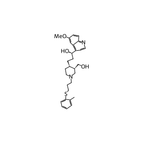 COc1ccc2nccc([C@H](O)CC[C@@H]3CCN(CCCSc4ccccc4C)C[C@@H]3CO)c2c1